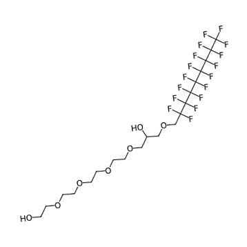 OCCOCCOCCOCCOCC(O)COCC(F)(F)C(F)(F)C(F)(F)C(F)(F)C(F)(F)C(F)(F)C(F)(F)C(F)(F)F